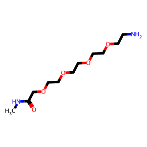 CNC(=O)COCCOCCOCCOCCN